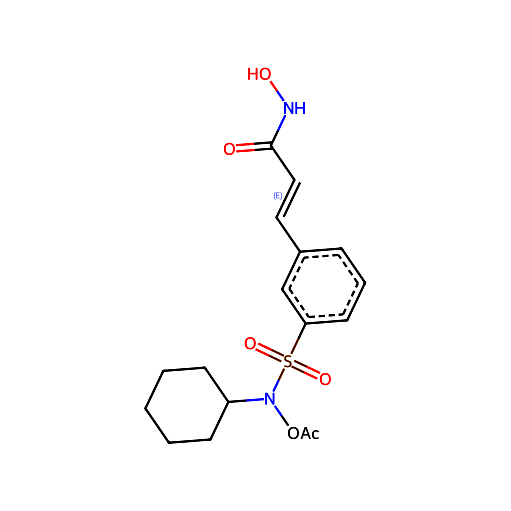 CC(=O)ON(C1CCCCC1)S(=O)(=O)c1cccc(/C=C/C(=O)NO)c1